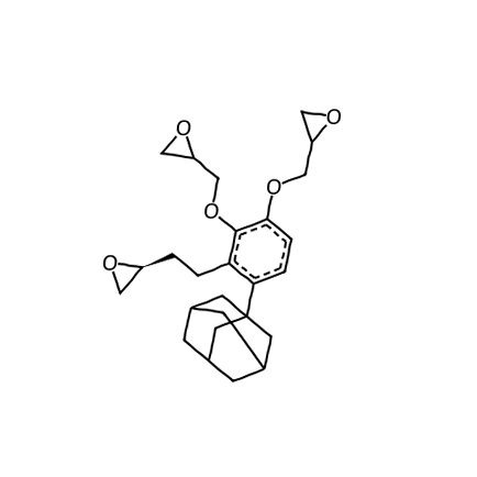 c1cc(C23CC4CC(CC(C4)C2)C3)c(CC[C@H]2CO2)c(OCC2CO2)c1OCC1CO1